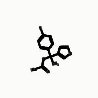 CC(C)(C)C(=O)OC(C)(c1ccc(F)cc1)c1ccoc1